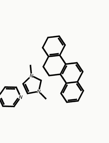 C1=CC2=C(CC1)CCc1c2ccc2ccccc12.CN1C=CN(C)C1.c1cnccn1